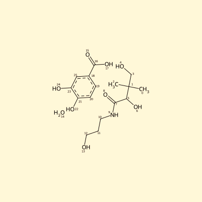 CC(C)(CO)C(O)C(=O)NCCCO.O.O=C(O)c1ccc(O)c(O)c1